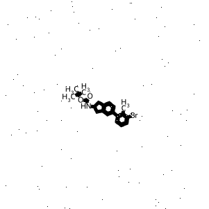 Cc1c(Br)cccc1-c1ccc2c(c1)CC(NC(=O)OC(C)(C)C)C2